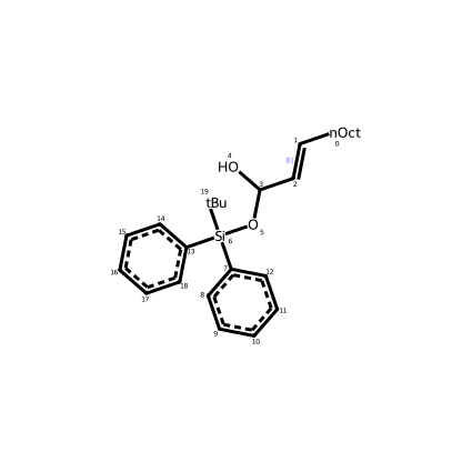 CCCCCCCC/C=C/C(O)O[Si](c1ccccc1)(c1ccccc1)C(C)(C)C